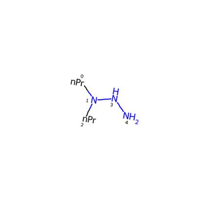 CCCN(CCC)NN